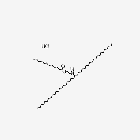 CCCCCCCCCCCCCCCCCCCCC(CCCCCCCCCCCCCCCCCCCC)NCCOC(=O)CCCCCCCCCCC.Cl